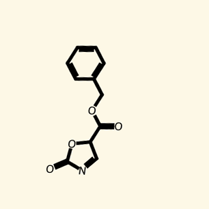 O=C1N=CC(C(=O)OCc2ccccc2)O1